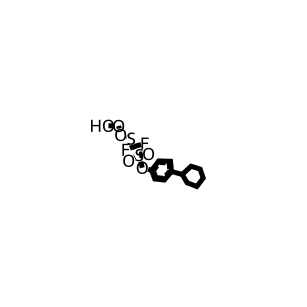 O=S(=O)(Oc1ccc(C2CCCCC2)cc1)C(F)(F)SOOO